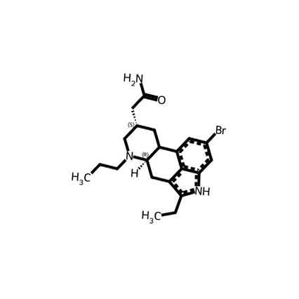 CCCN1C[C@H](CC(N)=O)CC2c3cc(Br)cc4[nH]c(CC)c(c34)C[C@H]21